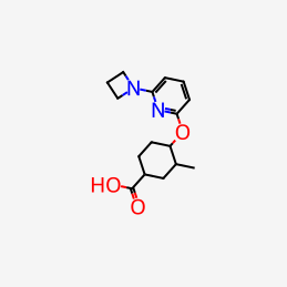 CC1CC(C(=O)O)CCC1Oc1cccc(N2CCC2)n1